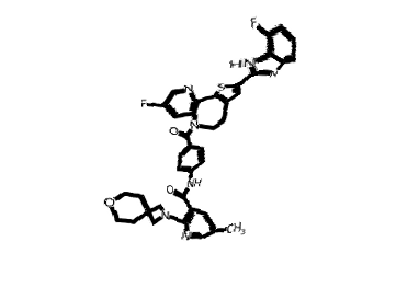 Cc1cnc(N2CC3(CCOCC3)C2)c(C(=O)Nc2ccc(C(=O)N3CCc4cc(-c5nc6cccc(F)c6[nH]5)sc4-c4ncc(F)cc43)cc2)c1